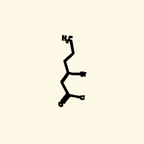 CCCC(Br)CC(=O)Cl